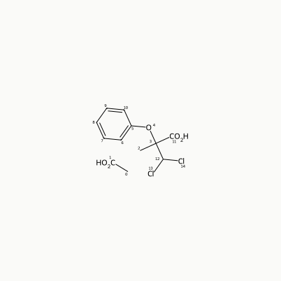 CC(=O)O.CC(Oc1ccccc1)(C(=O)O)C(Cl)Cl